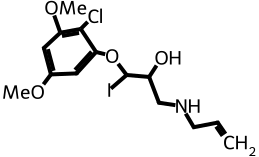 C=CCNCC(O)C(I)Oc1cc(OC)cc(OC)c1Cl